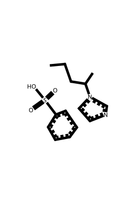 CCCC(C)n1ccnc1.O=S(=O)(O)c1ccccc1